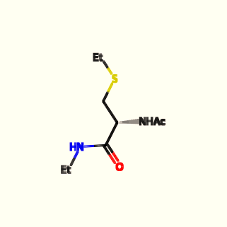 CCNC(=O)[C@H](CSCC)NC(C)=O